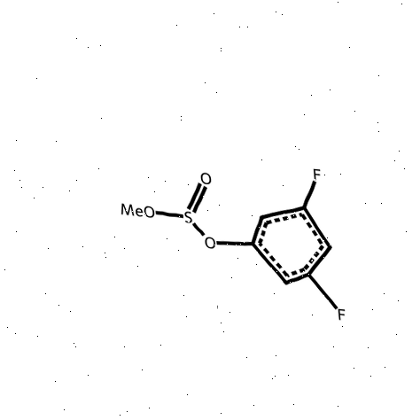 COS(=O)Oc1cc(F)cc(F)c1